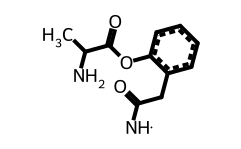 CC(N)C(=O)Oc1ccccc1CC([NH])=O